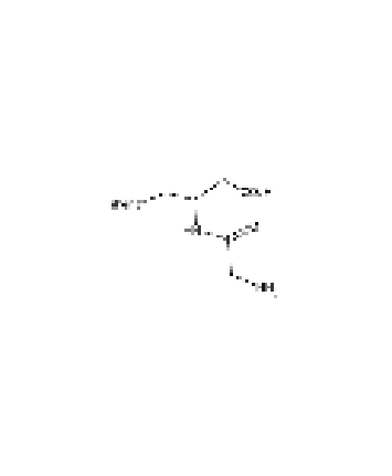 CCCC(C)CC(CC(=O)O)NC(=O)CN